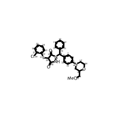 COCC1CN(c2ccc(C(c3ccccc3)N3NC(=O)C(Sc4ccccc4Cl)C3=O)cc2)CCO1